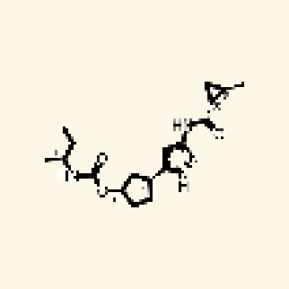 CC[C@H](C)NC(=O)O[C@@H]1CC[C@H](c2cc(NC(=O)[C@@H]3C[C@H]3C)n[nH]2)C1